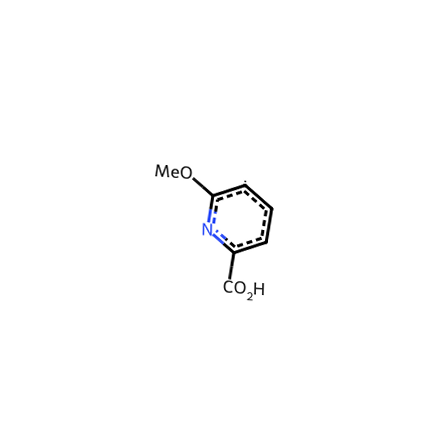 COc1[c]ccc(C(=O)O)n1